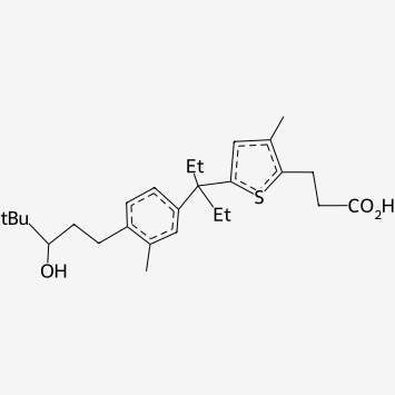 CCC(CC)(c1ccc(CCC(O)C(C)(C)C)c(C)c1)c1cc(C)c(CCC(=O)O)s1